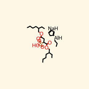 CCCCC(CC)COC(=O)CC(C(=O)OCC(CC)CCCC)S(=O)(=O)O.CC[CH2][AlH][C]1=CC=CC1.[NaH]